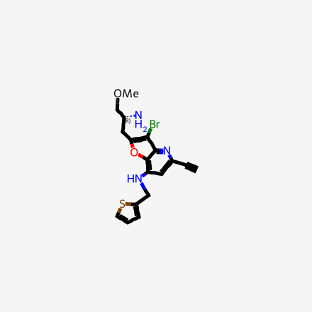 C#Cc1cc(NCc2cccs2)c2oc(C[C@@H](N)COC)c(Br)c2n1